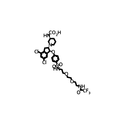 O=C(O)N[C@@H]1CCCN([C@H]2Cc3c(Cl)cc(Cl)cc3[C@@H]2Oc2ccc(S(=O)(=O)NCCOCCOCCNC(=O)C(F)(F)F)cc2)C1